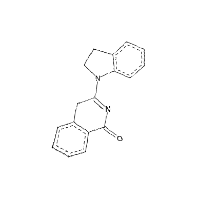 O=C1N=C(N2CCc3ccccc32)Cc2ccccc21